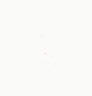 CC(C(=O)c1ccc2c(c1)OCO2)N(C)C(=O)OCCN(C)C